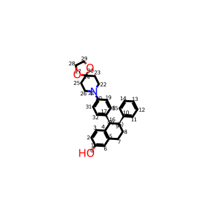 Oc1ccc2c(c1)CC[C@H](c1ccccc1)[C@@H]2c1ccc(N2CCC3(CC2)OCCO3)cc1